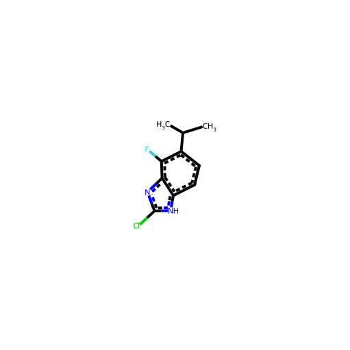 CC(C)c1ccc2[nH]c(Cl)nc2c1F